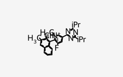 Cc1cc2ccccc2c(-c2c(F)cc(-c3nc(C(C)C)nc(C(C)C)n3)c[n+]2C)c1C